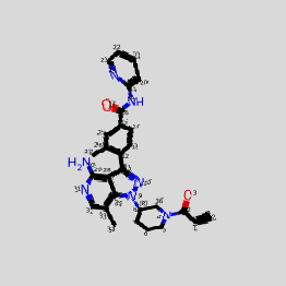 C=CC(=O)N1CCC[C@@H](n2nc(-c3ccc(C(=O)Nc4ccccn4)cc3C)c3c(N)ncc(C)c32)C1